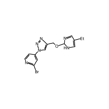 CCC1=CNC(OCc2cn(-c3ccnc(Br)c3)nn2)N=C1